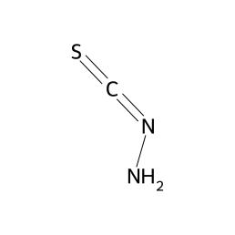 NN=C=S